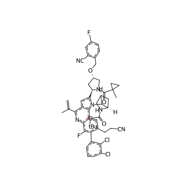 C=C(C)c1nc2c(F)c(-c3cccc(Cl)c3Cl)c(CCC#N)cc2c2c1cc([C@H]1C[C@H](OCc3ccc(F)cc3C#N)CN1C(=O)C1(C)CC1)n2[C@H]1[C@@H]2C[C@H]1N(C(=O)OC(C)(C)C)C2